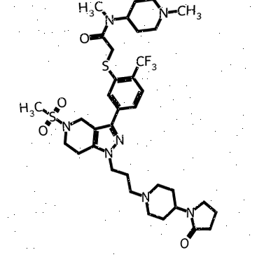 CN1CCC(N(C)C(=O)CSc2cc(-c3nn(CCCN4CCC(N5CCCC5=O)CC4)c4c3CN(S(C)(=O)=O)CC4)ccc2C(F)(F)F)CC1